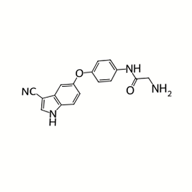 N#Cc1c[nH]c2ccc(Oc3ccc(NC(=O)CN)cc3)cc12